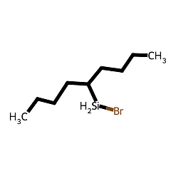 CCCCC(CCCC)[SiH2]Br